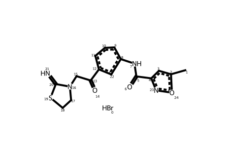 Br.Cc1cc(C(=O)Nc2cccc(C(=O)CN3CCSC3=N)c2)no1